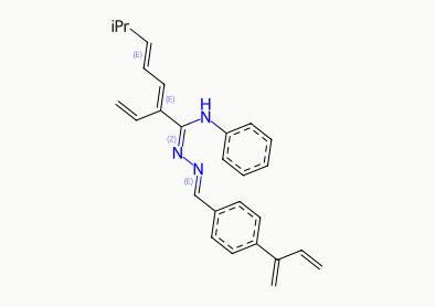 C=CC(=C)c1ccc(/C=N/N=C(Nc2ccccc2)/C(C=C)=C/C=C/C(C)C)cc1